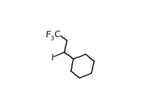 FC(F)(F)CC(I)C1CCCCC1